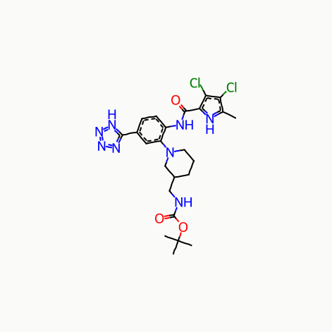 Cc1[nH]c(C(=O)Nc2ccc(-c3nnn[nH]3)cc2N2CCCC(CNC(=O)OC(C)(C)C)C2)c(Cl)c1Cl